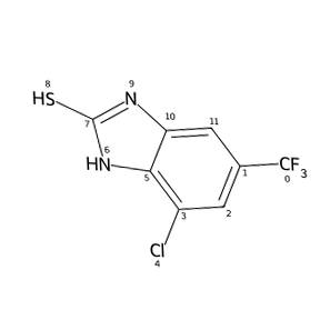 FC(F)(F)c1cc(Cl)c2[nH]c(S)nc2c1